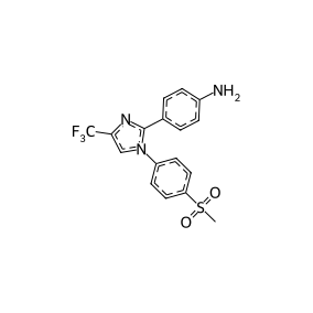 CS(=O)(=O)c1ccc(-n2cc(C(F)(F)F)nc2-c2ccc(N)cc2)cc1